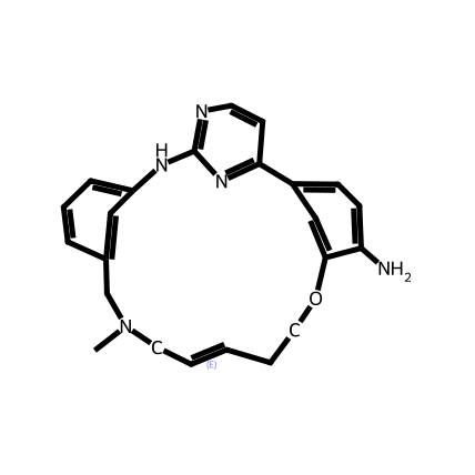 CN1C/C=C/CCOc2cc(ccc2N)-c2ccnc(n2)Nc2cccc(c2)C1